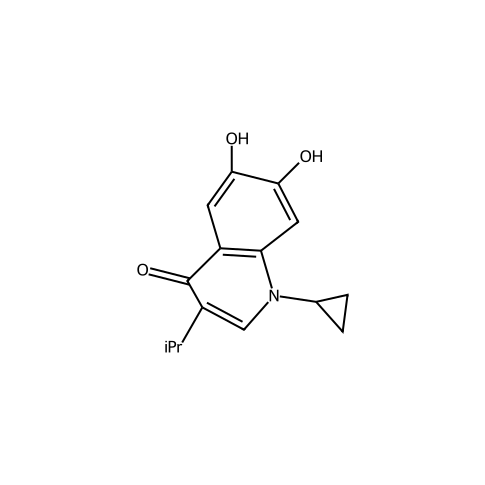 CC(C)c1cn(C2CC2)c2cc(O)c(O)cc2c1=O